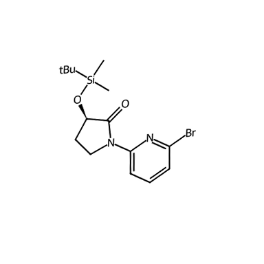 CC(C)(C)[Si](C)(C)O[C@@H]1CCN(c2cccc(Br)n2)C1=O